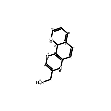 NCC1=COC2=C(C=CC3=CC=COC32)O1